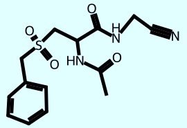 CC(=O)NC(CS(=O)(=O)Cc1ccccc1)C(=O)NCC#N